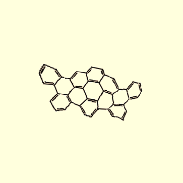 c1ccc2c(c1)c1cccc3c4ccc5c6cccc7c8ccccc8c8cc9ccc%10cc2c(c13)c1c%10c9c(c8c76)c5c41